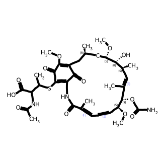 COC1=C2C[C@@H](C)C[C@H](OC)[C@H](O)[C@@H](C)/C=C(\C)[C@H](OC(N)=O)[C@@H](OC)/C=C\C=C(/C)C(=O)NC(=C(SC(C)C(NC(C)=O)C(=O)O)C1=O)C2=O